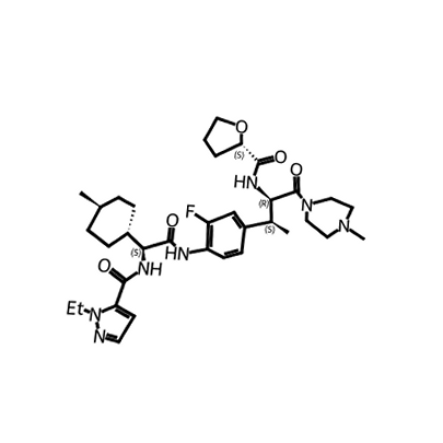 CCn1nccc1C(=O)N[C@H](C(=O)Nc1ccc([C@H](C)[C@@H](NC(=O)[C@@H]2CCCO2)C(=O)N2CCN(C)CC2)cc1F)[C@H]1CC[C@H](C)CC1